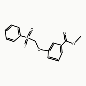 COC(=O)c1cccc(OCS(=O)(=O)c2ccccc2)c1